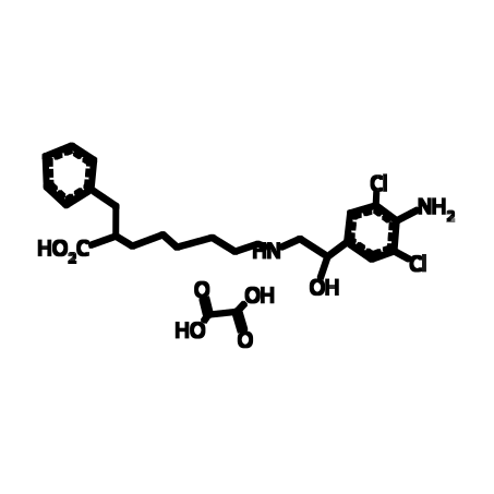 Nc1c(Cl)cc(C(O)CNCCCCCCC(Cc2ccccc2)C(=O)O)cc1Cl.O=C(O)C(=O)O